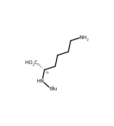 CC(C)(C)N[C@@H](CCCCN)C(=O)O